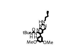 C#CCCCNc1ncc2cc(-c3cc(OC)cc(OC)c3)c(NC(=O)NC(C)(C)C)nc2n1